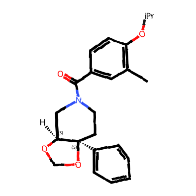 Cc1cc(C(=O)N2CC[C@@]3(c4ccccc4)OCO[C@H]3C2)ccc1OC(C)C